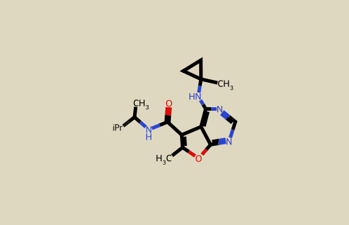 Cc1oc2ncnc(NC3(C)CC3)c2c1C(=O)NC(C)C(C)C